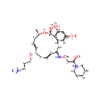 C[C@@H]1C/C=C/[C@@H](OCCCN)C/C=C/C(=N/OCC(=O)N2CCCCC2)Cc2cc(O)cc(O)c2C(=O)O1